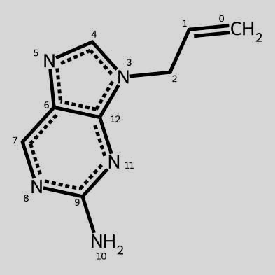 C=CCn1cnc2cnc(N)nc21